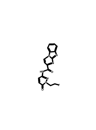 O=C(Nc1ccc(=O)n(CCF)n1)c1ccn2c(n1)nc1ccccc12